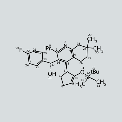 CC(C)c1nc2c(c([C@@H]3CCC=C3O[Si](C)(C)C(C)(C)C)c1[C@H](O)c1ccc(F)cc1)CCC(C)(C)C2